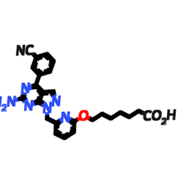 N#Cc1cccc(-c2nc(N)nc3c2cnn3Cc2cccc(OCCCCCCC(=O)O)n2)c1